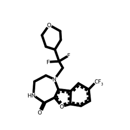 O=C1NCCN(CC(F)(F)C2CCOCC2)c2c1oc1ccc(C(F)(F)F)cc21